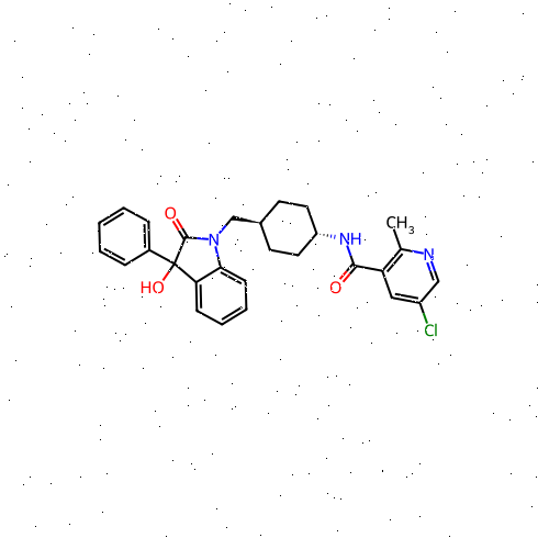 Cc1ncc(Cl)cc1C(=O)N[C@H]1CC[C@H](CN2C(=O)C(O)(c3ccccc3)c3ccccc32)CC1